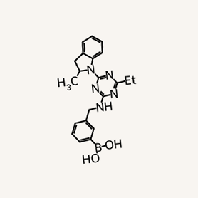 CCc1nc(NCc2cccc(B(O)O)c2)nc(N2c3ccccc3CC2C)n1